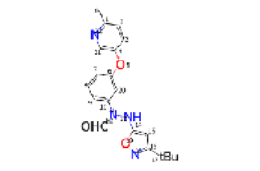 Cc1ccc(Oc2cccc(N(C=O)Nc3cc(C(C)(C)C)no3)c2)cn1